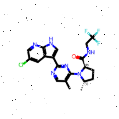 Cc1cnc(-c2c[nH]c3ncc(Cl)cc23)nc1N1[C@@H](C(=O)NCC(F)(F)F)CC[C@@H]1C